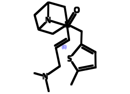 Cc1ccc(CN2CC3CC(C2)N3C(=O)/C=C/CN(C)C)s1